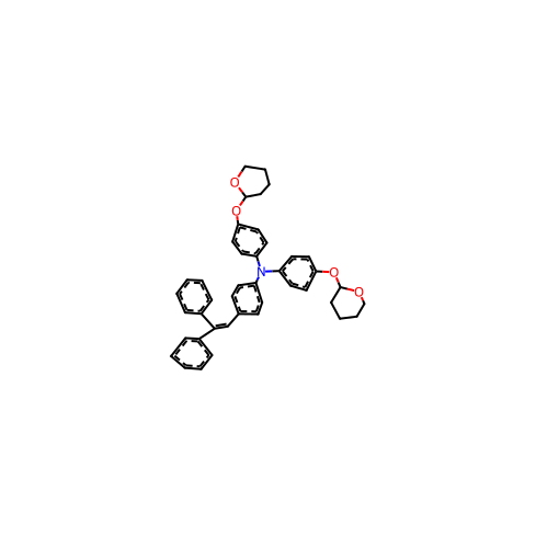 C(=C(c1ccccc1)c1ccccc1)c1ccc(N(c2ccc(OC3CCCCO3)cc2)c2ccc(OC3CCCCO3)cc2)cc1